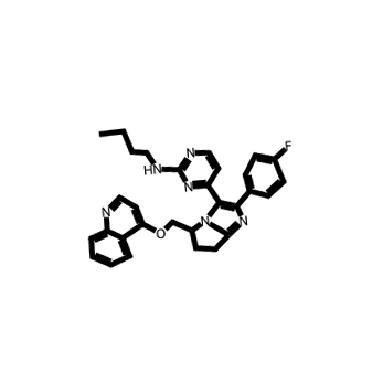 CCCCNc1nccc(-c2c(-c3ccc(F)cc3)nc3n2C(COc2ccnc4ccccc24)CC3)n1